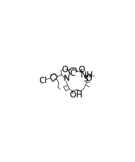 CCCc1cc(Cl)ccc1C1COc2ccc3cc2N(C1)CC1CCC1C(O)/C=C/CC(C)C(C)[S+]([O-])NC3=O